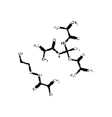 C=C(C)C(=O)NC(C)(NC(=O)C(=C)C)OC(=O)C(=C)C.C=C(CC)C(=O)NOCCO